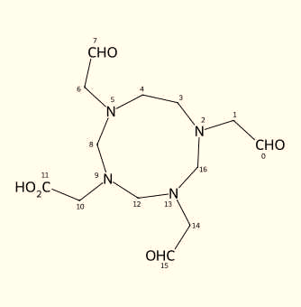 O=CCN1CCN(CC=O)CN(CC(=O)O)CN(CC=O)C1